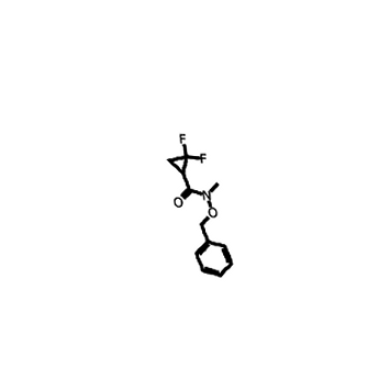 CN(OCc1ccccc1)C(=O)C1CC1(F)F